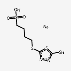 O=S(=O)(O)CCCCSc1nnc(S)s1.[Na]